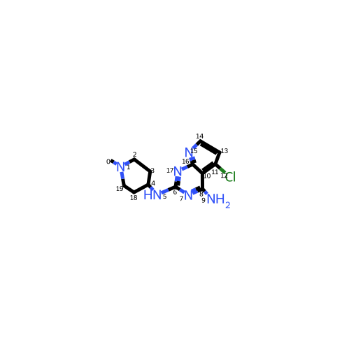 CN1CCC(Nc2nc(N)c3c(Cl)ccnc3n2)CC1